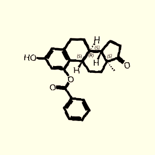 C[C@]12CC[C@@H]3c4c(cc(O)cc4OC(=O)c4ccccc4)CC[C@H]3[C@@H]1CCC2=O